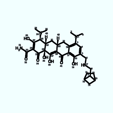 CN(C)c1cc(CNCC2C3CCC2C3)c(O)c2c1C[C@H]1C[C@H]3[C@H](N(C)C)C(O)=C(C(N)=O)C(=O)[C@@]3(O)C(O)=C1C2=O